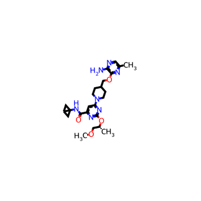 COC[C@@H](C)Oc1nc(C(=O)NC23CC2C3)cc(N2CCC(COc3nc(C)cnc3N)CC2)n1